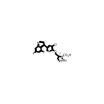 CC(C)C[C@@](C)(COc1ncc(-c2ccnc3cc(F)cc(F)c23)cc1Cl)N(C(=O)O)C(C)(C)C